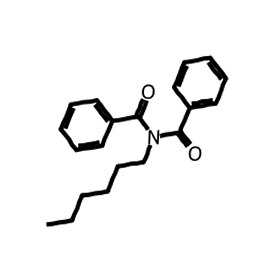 CCCCCCN(C(=O)c1ccccc1)C(=O)c1ccccc1